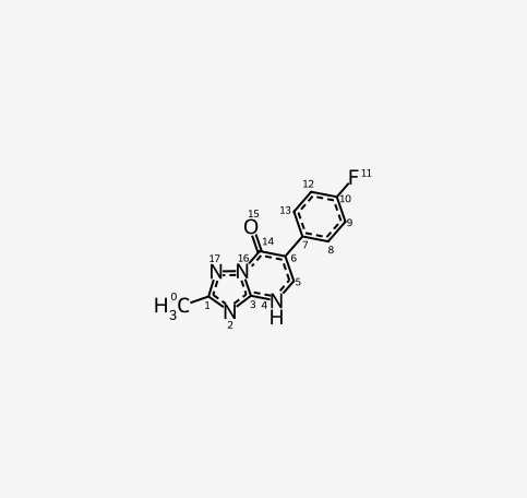 Cc1nc2[nH]cc(-c3ccc(F)cc3)c(=O)n2n1